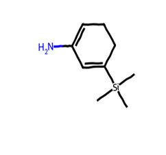 C[Si](C)(C)C1=CC(N)=CCC1